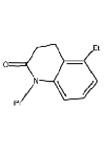 CCc1cccc2c1CCC(=O)N2C(C)C